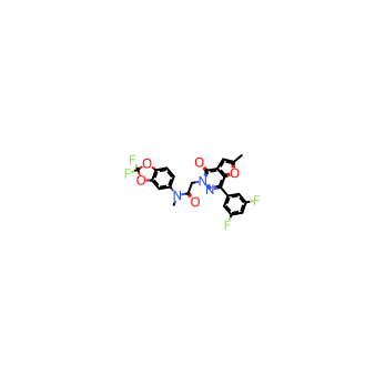 Cc1cc2c(=O)n(CC(=O)N(C)c3ccc4c(c3)OC(F)(F)O4)nc(-c3cc(F)cc(F)c3)c2o1